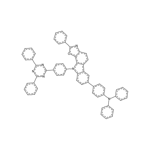 c1ccc(-c2nc(-c3ccccc3)nc(-c3ccc(-n4c5ccc(-c6ccc(N(c7ccccc7)c7ccccc7)cc6)cc5c5ccc6nc(-c7ccccc7)oc6c54)cc3)n2)cc1